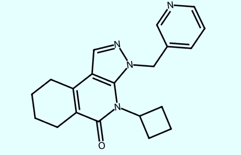 O=c1c2c(c3cnn(Cc4cccnc4)c3n1C1CCC1)CCCC2